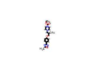 CC(=O)OC(COc1ccc(-c2noc(C)n2)cc1)CN1CCN(C(=O)OC(C)(C)C)CC1